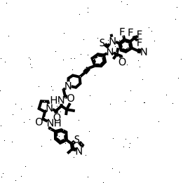 Cc1ncsc1-c1ccc(CNC(=O)C2CCCN2C(=O)C(NC(=O)CN2CCC(C#Cc3ccc(N(C(=S)N(C)c4ccc(C#N)c(C(F)(F)F)c4F)C(C)(C)C=O)cc3)CC2)C(C)(C)C)cc1